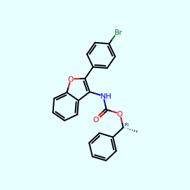 C[C@@H](OC(=O)Nc1c(-c2ccc(Br)cc2)oc2ccccc12)c1ccccc1